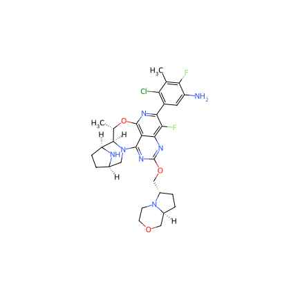 Cc1c(F)c(N)cc(-c2nc3c4c(nc(OC[C@@H]5CC[C@H]6COCCN65)nc4c2F)N2C[C@H]4CC[C@H](N4)[C@H]2[C@H](C)O3)c1Cl